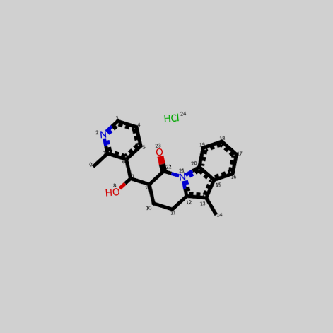 Cc1ncccc1C(O)C1CCc2c(C)c3ccccc3n2C1=O.Cl